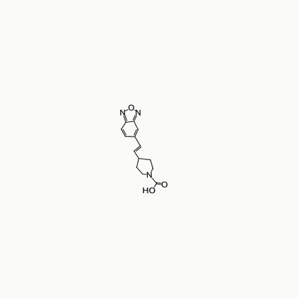 O=C(O)N1CCC(/C=C/c2ccc3nonc3c2)CC1